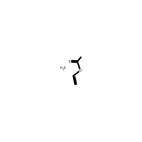 C=COC(C)=O.S